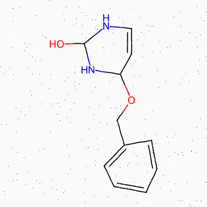 OC1NC=CC(OCc2ccccc2)N1